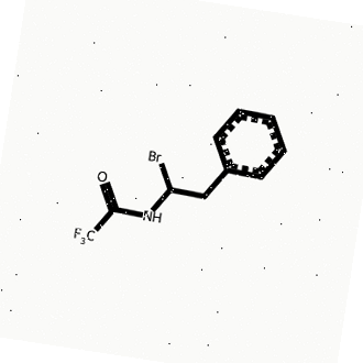 O=C(NC(Br)Cc1ccccc1)C(F)(F)F